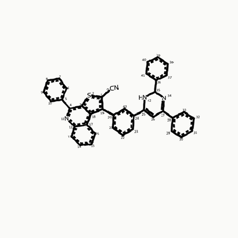 N#Cc1sc2c(-c3ccccc3)nc3ccccc3c2c1-c1cccc(C2=CC(c3ccccc3)=NC(c3ccccc3)N2)c1